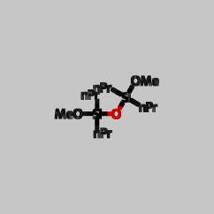 CCC[Si](CCC)(OC)O[Si](CCC)(CCC)OC